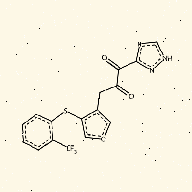 O=C(Cc1cocc1Sc1ccccc1C(F)(F)F)C(=O)c1nc[nH]n1